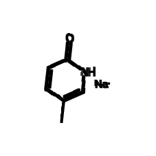 Cc1ccc(=O)[nH]c1.[Na]